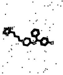 Clc1ccc(C(OC2CCN(CCCCc3nnn[nH]3)CC2)c2ccccc2)cc1